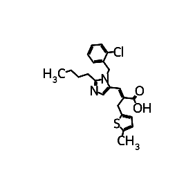 CCCCc1ncc(/C=C(\Cc2ccc(C)s2)C(=O)O)n1Cc1ccccc1Cl